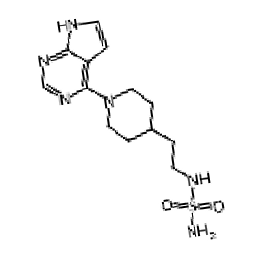 NS(=O)(=O)NCCC1CCN(c2ncnc3[nH]ccc23)CC1